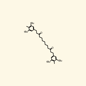 Cc1c(C(C)(C)C)cc(CCC(=O)CCCCCCCC(=O)CCc2cc(C(C)(C)C)c(C)c(C(C)(C)C)c2)cc1C(C)(C)C